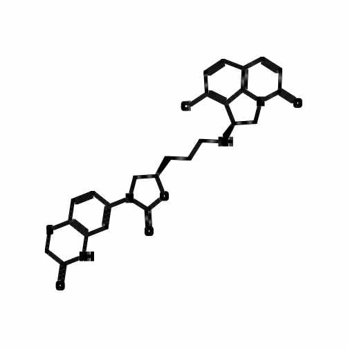 O=C1CSc2ccc(N3C[C@@H](CCCN[C@@H]4Cn5c(=O)ccc6ccc(Cl)c4c65)OC3=O)cc2N1